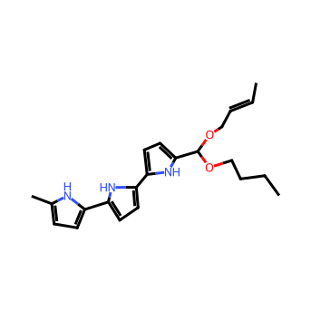 C/C=C/COC(OCCCC)c1ccc(-c2ccc(-c3ccc(C)[nH]3)[nH]2)[nH]1